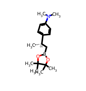 C[C@@H](CB1OC(C)(C)C(C)(C)O1)c1ccc(N(C)C)cc1